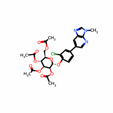 CC(=O)OC[C@H]1O[C@H](Oc2ccc(-c3cnc4c(c3)ncn4C)cc2Cl)[C@@H](OC(C)=O)[C@@H](OC(C)=O)[C@@H]1OC(C)=O